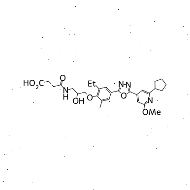 CCc1cc(-c2nnc(-c3cc(OC)nc(C4CCCC4)c3)o2)cc(C)c1OCC(O)CNC(=O)CCC(=O)O